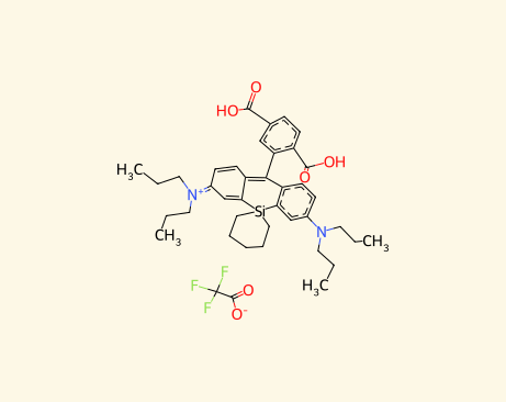 CCCN(CCC)c1ccc2c(c1)[Si]1(CCCCC1)C1=CC(=[N+](CCC)CCC)C=CC1=C2c1cc(C(=O)O)ccc1C(=O)O.O=C([O-])C(F)(F)F